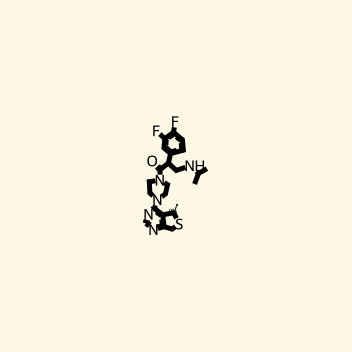 CC(C)NCC(C(=O)N1CCN(c2ncnc3c2[C@H](C)SC3)CC1)c1ccc(F)c(F)c1